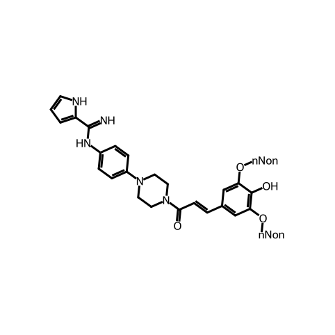 CCCCCCCCCOc1cc(C=CC(=O)N2CCN(c3ccc(NC(=N)c4ccc[nH]4)cc3)CC2)cc(OCCCCCCCCC)c1O